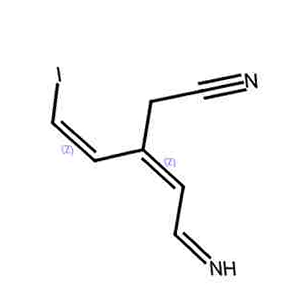 N#CCC(/C=C\I)=C/C=N